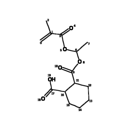 C=C(C)C(=O)OC(C)OC(=O)C1CCCCC1C(=O)O